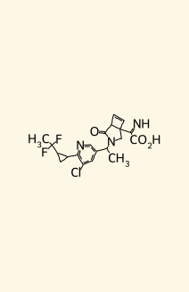 CC(c1cnc(C2CC2C(C)(F)F)c(Cl)c1)N1CC2(C(=N)C(=O)O)C=CC2C1=O